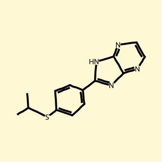 CC(C)Sc1ccc(-c2nc3nccnc3[nH]2)cc1